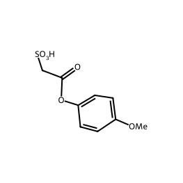 COc1ccc(OC(=O)CS(=O)(=O)O)cc1